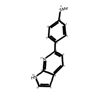 CSc1ccc(-c2ccc3cc[nH]c3n2)cc1